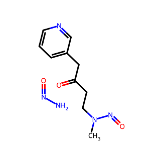 CN(CCC(=O)Cc1cccnc1)N=O.NN=O